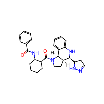 O=C(N[C@@H]1CCCC[C@@H]1C(=O)N1CC[C@@H]2[C@H](C3CC=NN3)Nc3ccccc3[C@@H]21)c1ccccc1